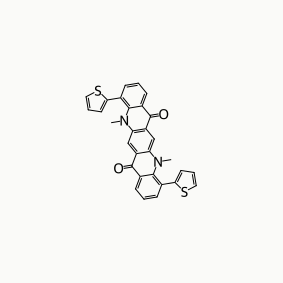 Cn1c2cc3c(=O)c4cccc(-c5cccs5)c4n(C)c3cc2c(=O)c2cccc(-c3cccs3)c21